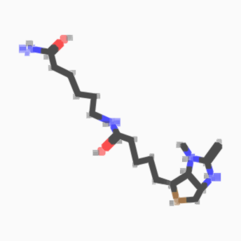 C=C1NC2CS[C@@H](CCCCC(=O)NCCCCCC(N)=O)C2N1C